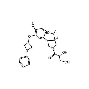 COc1ccc([C@@H]2CN(C(=O)C(O)CO)C[C@@]2(C)C(C)O)cc1OC1CN(c2ccccn2)C1